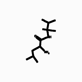 CC(C)CC(N)C(=O)NC(C)(C)C(C)C